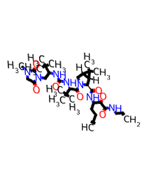 C#CCCC(NC(=O)[C@@H]1[C@@H]2[C@H](CN1C(=O)[C@@H](NC(=O)NC(CN1C(=O)CN(C)C1=O)C(C)(C)C)C(C)(C)C)C2(C)C)C(=O)C(=O)NCC=C